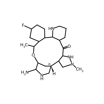 CC1OC2C[C@@H](CNC2N)C2CN(C)NC2C(=O)C2CCCNC2C2CCC(F)CC12